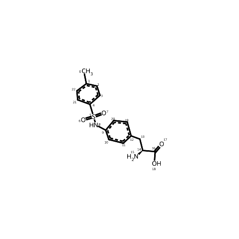 Cc1ccc(S(=O)(=O)Nc2ccc(C[C@H](N)C(=O)O)cc2)cc1